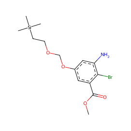 COC(=O)c1cc(OCOCC[Si](C)(C)C)cc(N)c1Br